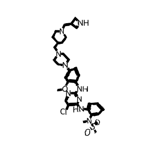 COc1cc(N2CCN(CC3CCN(CC4CNC4)CC3)CC2)ccc1Nc1ncc(Cl)c(Nc2ccccc2N(C)S(C)(=O)=O)n1